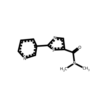 CN(C)C(=O)c1cnc(-c2cccnc2)s1